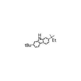 CCC(C)(C)c1ccc2c(c1)[nH]c1cc(C(C)(C)C)ccc12